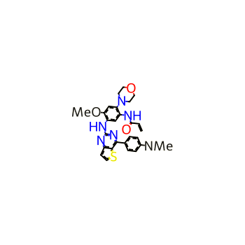 C=CC(=O)Nc1cc(Nc2nc(-c3ccc(NC)cc3)c3sccc3n2)c(OC)cc1N1CCOCC1